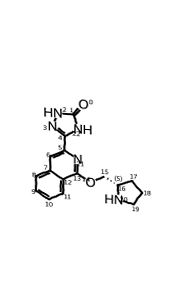 O=c1[nH]nc(-c2cc3ccccc3c(OC[C@@H]3CCCN3)n2)[nH]1